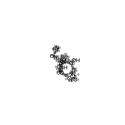 CCn1c(-c2cccnc2[C@H](C)OC)c2c3cc(ccc31)-c1cc(O)cc(c1)C[C@H](NC(=O)[C@H](C(C)C)N(C)C(=O)C1CCN(C(=O)C#CC(F)(F)N(C)C)C1)C(=O)N1CCC[C@H](N1)C(=O)OCC(C)(C)C2